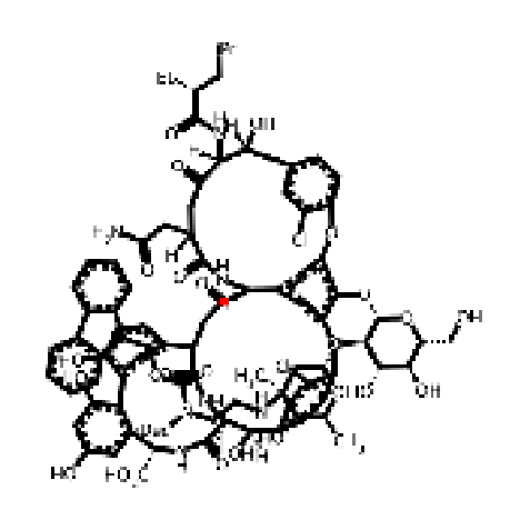 CCCCCCCCCCN(CCN[C@@]1(C)C[C@H](O[C@H]2[C@H](Oc3c4cc5cc3Oc3ccc(cc3Cl)[C@@H](O)[C@@H](NC(=O)[C@H](CC)CC(C)C)C(=O)C[C@@H](CC(N)=O)C(=O)N[C@H]5C(=O)CC3C(=O)N[C@H](C(=O)N[C@H](C(=O)O)c5cc(O)cc(O)c5-c5cc3ccc5O)[C@H](O)c3ccc(c(Cl)c3)O4)O[C@H](CO)[C@@H](O)[C@@H]2O)O[C@@H](C)[C@H]1O)C(=O)OCC1c2ccccc2-c2ccccc21